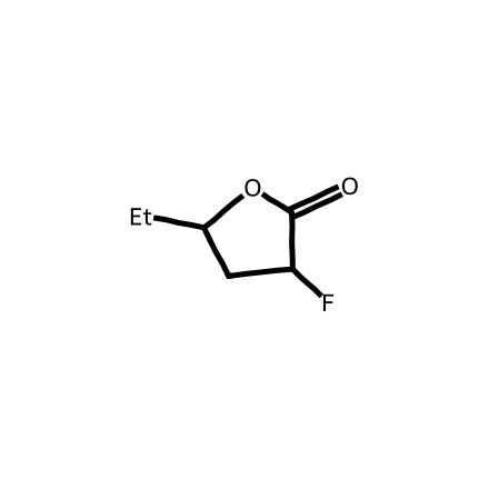 CCC1CC(F)C(=O)O1